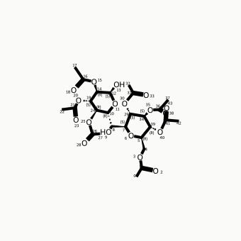 CC(=O)OC[C@H]1O[C@@H](C(O)[C@H]2O[C@H](O)[C@H](OC(C)=O)[C@@H](OC(C)=O)[C@@H]2OC(C)=O)[C@H](OC(C)=O)[C@@H](OC(C)=O)[C@@H]1OC(C)=O